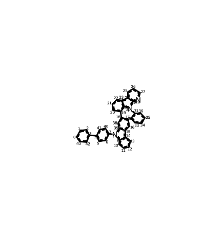 c1ccc(-c2ccc(-n3c4ccccc4c4ccc(-c5cccc6c7cccnc7n(-c7ccccc7)c56)cc43)cc2)cc1